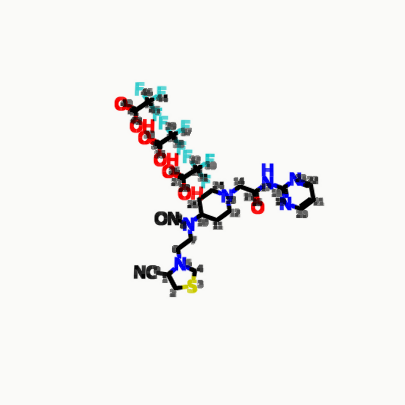 N#CC1CSCN1CCN(N=O)C1CCN(CC(=O)Nc2ncccn2)CC1.O=C(O)C(F)(F)F.O=C(O)C(F)(F)F.O=C(O)C(F)(F)F